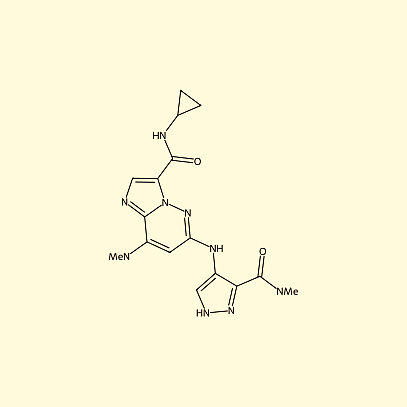 CNC(=O)c1n[nH]cc1Nc1cc(NC)c2ncc(C(=O)NC3CC3)n2n1